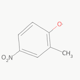 Cc1cc([N+](=O)[O-])ccc1[O]